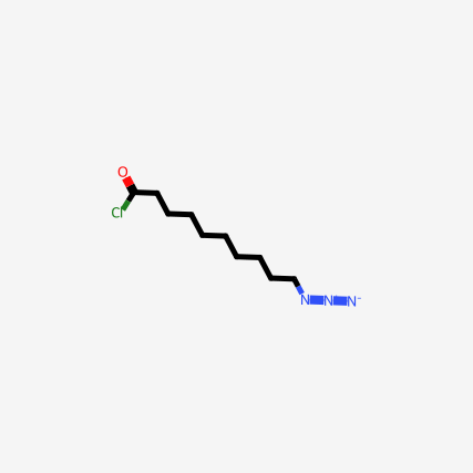 [N-]=[N+]=NCCCCCCCCCC(=O)Cl